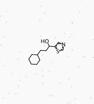 OC(CCC1CCCCC1)c1cncs1